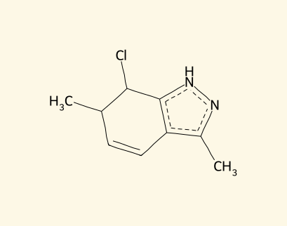 Cc1n[nH]c2c1C=CC(C)C2Cl